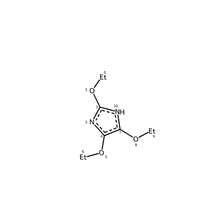 CCOc1nc(OCC)c(OCC)[nH]1